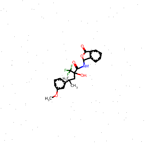 COc1cccc(C(C)(C)CC(O)(C(=O)NC2OC(=O)c3ccccc32)C(F)(F)F)c1